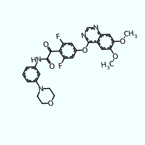 COc1cc2ncnc(Oc3cc(F)c(C(=O)C(=O)Nc4cccc(N5CCOCC5)c4)c(F)c3)c2cc1OC